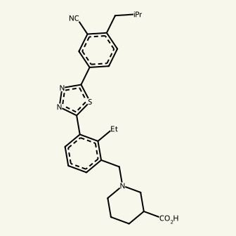 CCc1c(CN2CCCC(C(=O)O)C2)cccc1-c1nnc(-c2ccc(CC(C)C)c(C#N)c2)s1